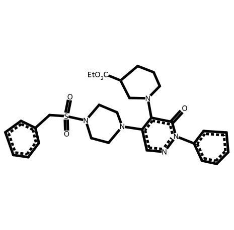 CCOC(=O)C1CCCN(c2c(N3CCN(S(=O)(=O)Cc4ccccc4)CC3)cnn(-c3ccccc3)c2=O)C1